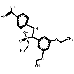 CCOc1cc(OCC)cc(C(Nc2ccc(C(=N)N)cc2)P(=O)(O)OC)c1